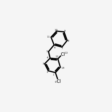 Clc1ccc(Cc2ccccc2)c(Cl)c1